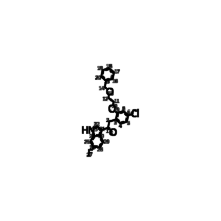 O=C(Cc1ccc(Cl)cc1OCCOCc1ccccc1)c1c[nH]c2cc(F)ccc12